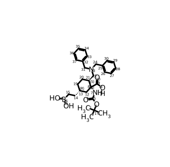 CC(C)(C)OC(=O)N[C@]1(C(=O)O)C[C@H](CCB(O)O)CC[C@H]1CN(Cc1ccccc1)Cc1ccccc1